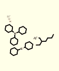 C1CC[CH]([Al+][CH]2CCCCC2)CC1.C1CC[CH]([Al]([CH]2CCCCC2)[CH]2CCCCC2)CC1.CCCCC(CC)[CH2][Al+2].[H-].[H-].[H-]